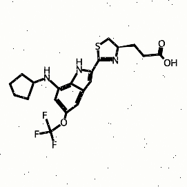 O=C(O)CC[C@@H]1CSC(c2cc3cc(OC(F)(F)F)cc(NC4CCCC4)c3[nH]2)=N1